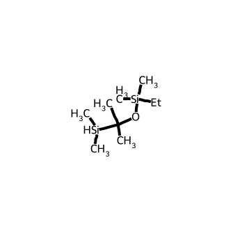 CC[Si](C)(C)OC(C)(C)[SiH](C)C